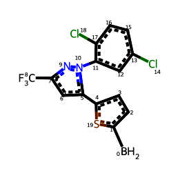 Bc1ccc(-c2cc(C(F)(F)F)nn2-c2cc(Cl)ccc2Cl)s1